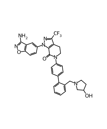 Nc1noc2ccc(-n3nc(C(F)(F)F)c4c3C(=O)N(c3ccc(-c5ccccc5CN5CCC(O)C5)cc3)CC4)cc12